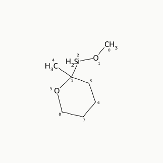 CO[SiH2]C1(C)CCCCO1